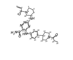 C=CC(=O)N1CCCC(Nc2nnc(C(N)=O)c(Nc3ccc(C4CCN(C(=O)CC)CC4)cc3)n2)C1